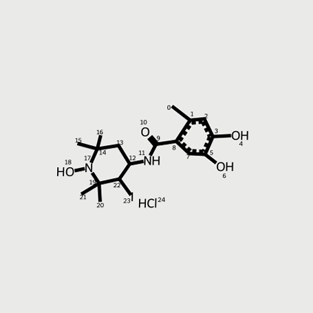 Cc1cc(O)c(O)cc1C(=O)NC1CC(C)(C)N(O)C(C)(C)C1I.Cl